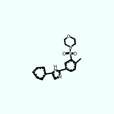 Cc1ccc(-c2ncc(-c3ccccc3)[nH]2)cc1S(=O)(=O)N1CCOCC1